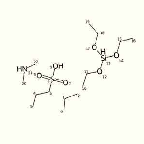 CCC.CCCS(=O)(=O)O.CCO[SiH](OCC)OCC.CNC